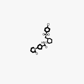 O=C(N[C@H]1CCCCC1CS(=O)(=O)c1ccc(Cl)cc1)c1ccc(-n2ccccc2=O)cc1